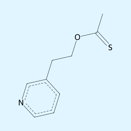 CC(=S)OCCc1cccnc1